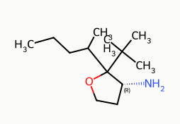 CCCC(C)C1(C(C)(C)C)OCC[C@H]1N